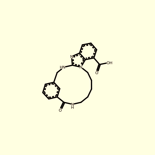 O=C1NCCCCCn2c(nc3cccc(C(=O)O)c32)NCc2cccc1c2